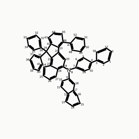 c1ccc(-c2ccc(N(c3ccc4ccccc4c3)c3cc4c(c5ccccc35)C(c3ccccc3)(c3ccccc3)c3cccc(-c5ccccc5)c3-4)cc2)cc1